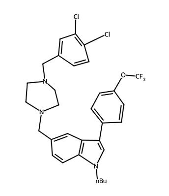 CCCCn1cc(-c2ccc(OC(F)(F)F)cc2)c2cc(CN3CCN(Cc4ccc(Cl)c(Cl)c4)CC3)ccc21